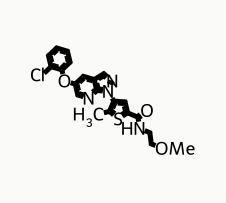 COCCNC(=O)c1cc(-n2ncc3cc(Oc4ccccc4Cl)cnc32)c(C)s1